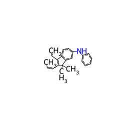 C=CC1=C(/C=C\C)C(C)(C)c2cc(Nc3ccccc3)ccc21